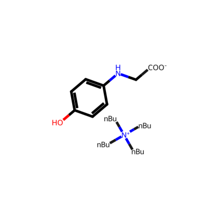 CCCC[N+](CCCC)(CCCC)CCCC.O=C([O-])CNc1ccc(O)cc1